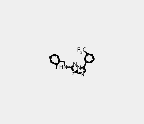 Cc1ccccc1CNc1nn2c(-c3cccc(C(F)(F)F)c3)cnc2s1